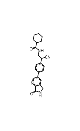 N#CC(CNC(=O)C1CCCCC1)c1ccc(-c2cnc3c(c2)CNC3=O)cc1